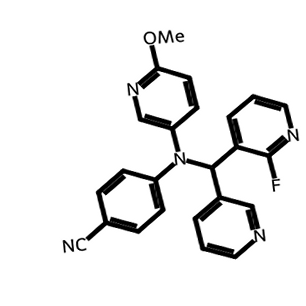 COc1ccc(N(c2ccc(C#N)cc2)C(c2cccnc2)c2cccnc2F)cn1